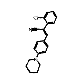 N#C/C(=C\c1ccc(N2CCCCC2)cc1)c1ccccc1Cl